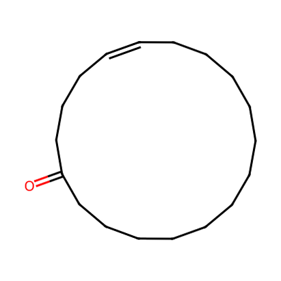 O=C1CCCC=CCCCCCCCCCCCC1